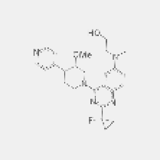 COC1CN(c2nc(C3(F)CC3)nc3ccc(N(C)CCO)cc23)CCC1c1ccncc1